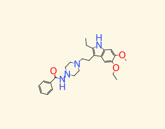 CCOc1cc2c(CCN3CCN(NC(=O)c4ccccc4)CC3)c(CC)[nH]c2cc1OC